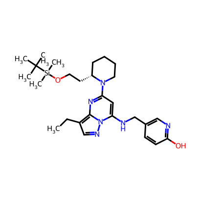 CCc1cnn2c(NCc3ccc(O)nc3)cc(N3CCCC[C@H]3CCO[Si](C)(C)C(C)(C)C)nc12